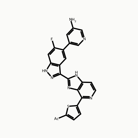 CC(=O)c1ccc(-c2nccc3[nH]c(-c4n[nH]c5cc(F)c(-c6cncc(N)c6)cc45)nc23)s1